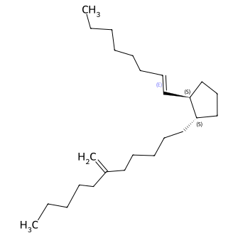 C=C(CCCCC)CCCCC[C@H]1CCC[C@@H]1/C=C/CCCCCC